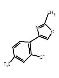 Cc1nc(-c2ccc(C(F)(F)F)cc2C(F)(F)F)co1